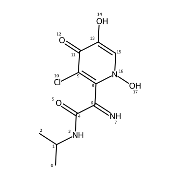 CC(C)NC(=O)C(=N)c1c(Cl)c(=O)c(O)cn1O